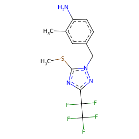 CSc1nc(C(F)(F)C(F)(F)F)nn1Cc1ccc(N)c(C)c1